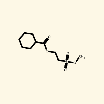 COS(=O)(=O)CCOC(=O)C1CCCCC1